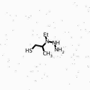 CCN(NN)C(C)CS